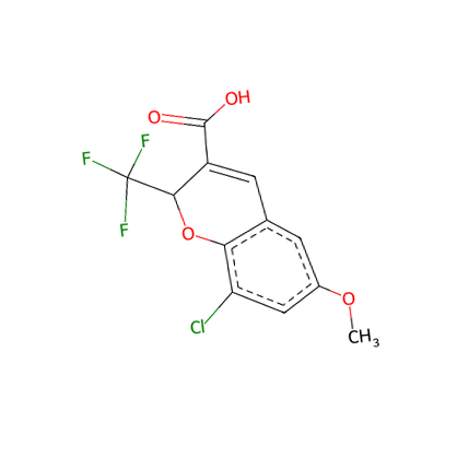 COc1cc(Cl)c2c(c1)C=C(C(=O)O)C(C(F)(F)F)O2